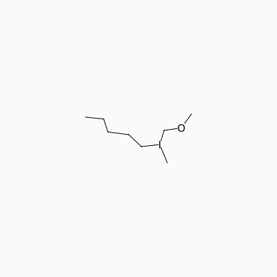 CCCCCI(C)COC